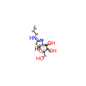 OC[C@H]1O[C@H]2SC(NCCF)=NC2[C@@H](O)[C@@H]1O